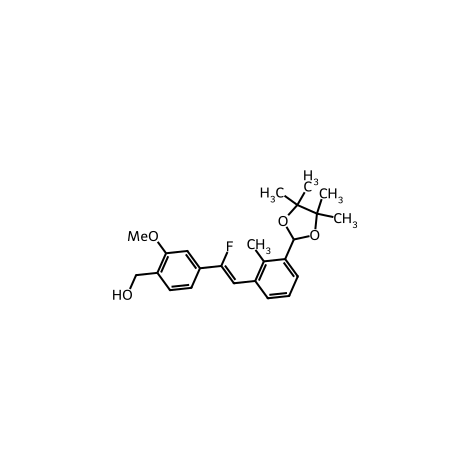 COc1cc(/C(F)=C/c2cccc(C3OC(C)(C)C(C)(C)O3)c2C)ccc1CO